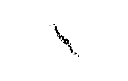 CCCCCCOc1ccc(-c2ccc(OCCCCCC)cn2)cc1